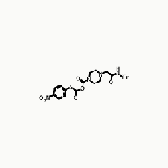 CC(C)NC(=O)CN1CCN(C(=O)OC(=O)Sc2ccc([N+](=O)[O-])cc2)CC1